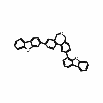 c1ccc2c(c1)oc1cc(-c3ccc4c(c3)COCc3ccc(-c5cccc6c5oc5ccccc56)cc3-4)ccc12